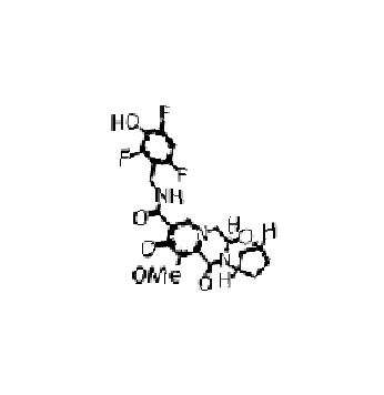 COc1c2n(cc(C(=O)NCc3c(F)cc(F)c(O)c3F)c1=O)C[C@H]1O[C@@H]3CC[C@@H](C3)N1C2=O